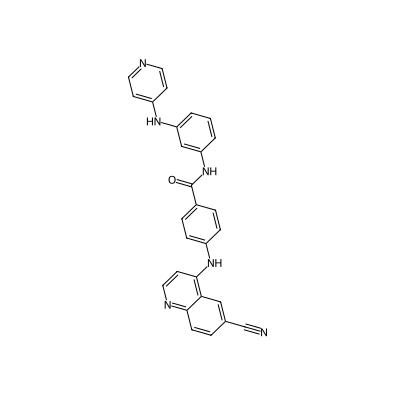 N#Cc1ccc2nccc(Nc3ccc(C(=O)Nc4cccc(Nc5ccncc5)c4)cc3)c2c1